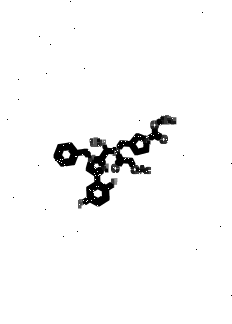 CC(=O)OCC(=O)N(CC1CCN(C(=O)OC(C)(C)C)C1)[C@@H](c1nc(-c2cc(F)ccc2F)cn1Cc1ccccc1)C(C)(C)C